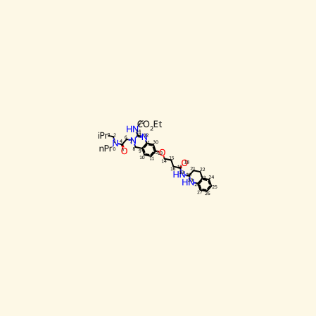 CCCN(CC(C)C)C(=O)CN1Cc2ccc(OCCCC(=O)NC3CCc4ccccc4N3)cc2N=C1NC(=O)OCC